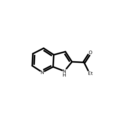 CCC(=O)c1cc2cccnc2[nH]1